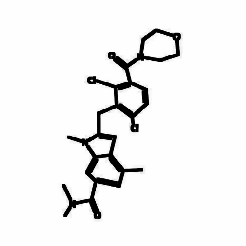 Cc1cc(C(=O)N(C)C)cc2c1cc(Cc1c(Cl)ccc(C(=O)N3CCOCC3)c1Cl)n2C